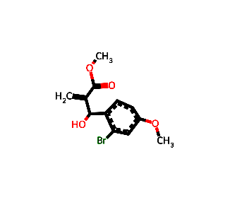 C=C(C(=O)OC)C(O)c1ccc(OC)cc1Br